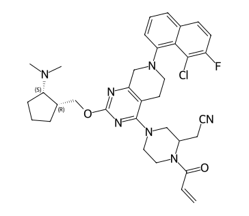 C=CC(=O)N1CCN(c2nc(OC[C@@H]3CCC[C@@H]3N(C)C)nc3c2CCN(c2cccc4ccc(F)c(Cl)c24)C3)CC1CC#N